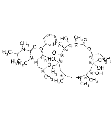 CC[C@H]1OC(=O)[C@H](C)[C@@H](O)[C@H](C)[C@@H](O[C@@H]2O[C@H](C)C[C@H](N(C)C(=O)N(C)C(C)C)[C@H]2Oc2ccccc2)[C@](C)(O)C[C@@H](C)CN(C)[C@H](C)[C@@H](O)[C@]1(C)O